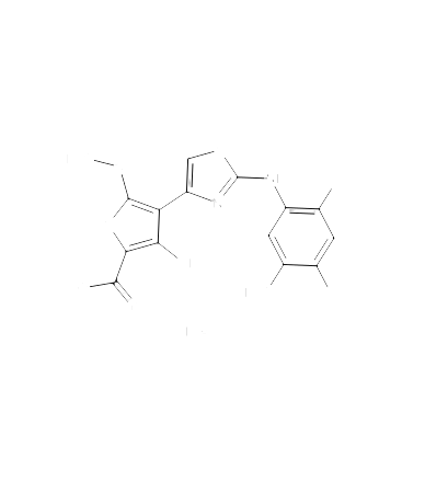 Br.CSc1sc(C(=O)O)c(C)c1-c1csc(Nc2cc(C)c(C)cc2C)n1